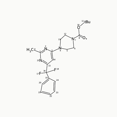 Cc1nc(N2CCN(C(=O)OC(C)(C)C)CC2)cc(C(F)(F)c2ccccc2)n1